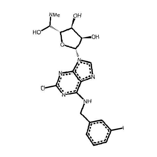 CNC(O)[C@H]1O[C@@H](n2cnc3c(NCc4cccc(I)c4)nc(Cl)nc32)[C@H](O)[C@@H]1O